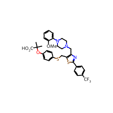 COc1ccccc1N1CCN(Cc2nc(-c3ccc(C(F)(F)F)cc3)sc2CSc2ccc(OC(C)(C)C(=O)O)cc2)CC1